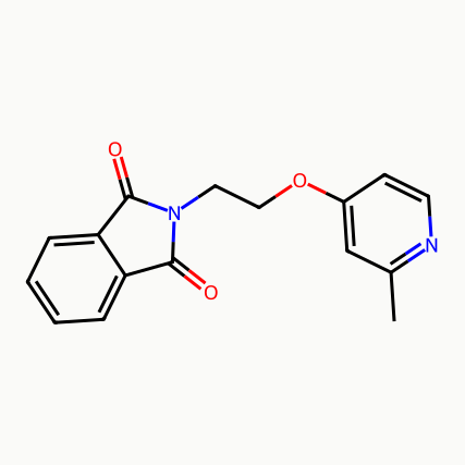 Cc1cc(OCCN2C(=O)c3ccccc3C2=O)ccn1